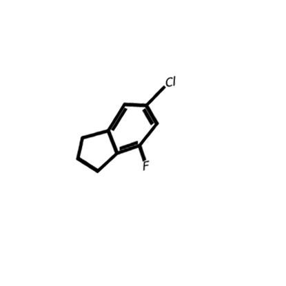 Fc1cc(Cl)cc2c1CCC2